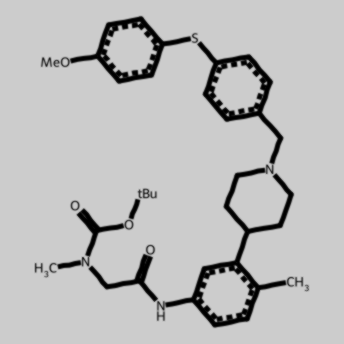 COc1ccc(Sc2ccc(CN3CCC(c4cc(NC(=O)CN(C)C(=O)OC(C)(C)C)ccc4C)CC3)cc2)cc1